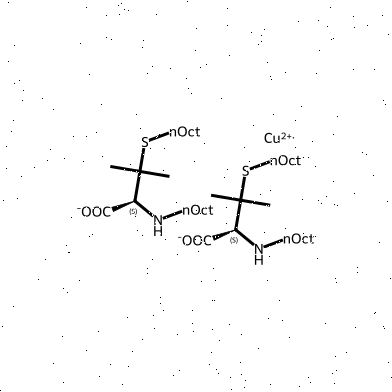 CCCCCCCCN[C@@H](C(=O)[O-])C(C)(C)SCCCCCCCC.CCCCCCCCN[C@@H](C(=O)[O-])C(C)(C)SCCCCCCCC.[Cu+2]